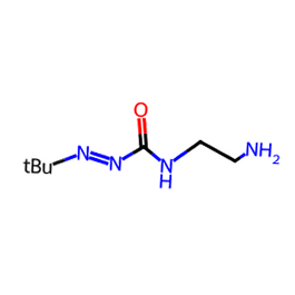 CC(C)(C)N=NC(=O)NCCN